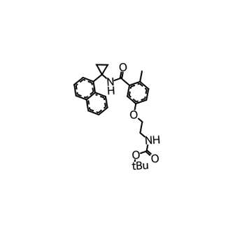 Cc1ccc(OCCNC(=O)OC(C)(C)C)cc1C(=O)NC1(c2cccc3ccccc23)CC1